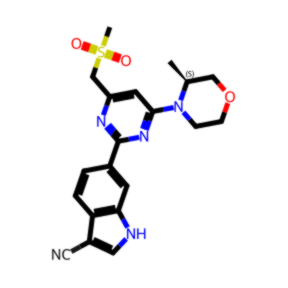 C[C@H]1COCCN1c1cc(CS(C)(=O)=O)nc(-c2ccc3c(C#N)c[nH]c3c2)n1